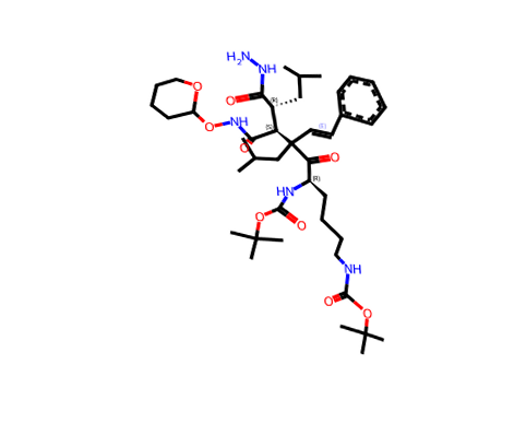 CC(C)C[C@@H](C(=O)NN)[C@H](C(=O)NOC1CCCCO1)C(/C=C/c1ccccc1)(CC(C)C)C(=O)[C@@H](CCCCNC(=O)OC(C)(C)C)NC(=O)OC(C)(C)C